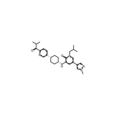 CC(C)Cn1cc(-c2cnn(C)c2)cc(N[C@H]2CC[C@@H](c3ccc(C(=O)N(C)C)nc3)CC2)c1=O